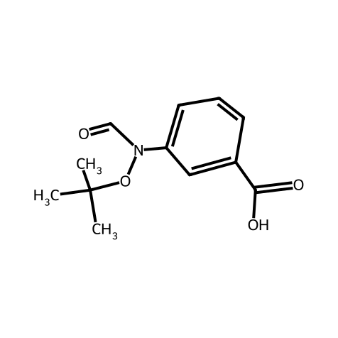 CC(C)(C)ON(C=O)c1cccc(C(=O)O)c1